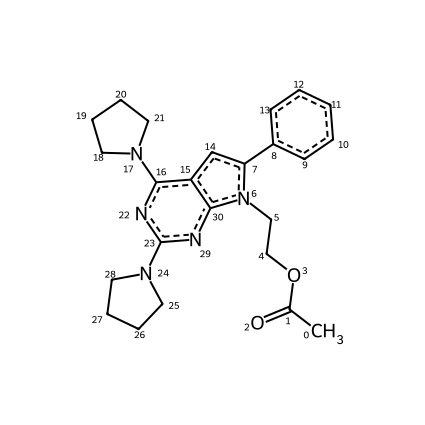 CC(=O)OCCn1c(-c2ccccc2)cc2c(N3CCCC3)nc(N3CCCC3)nc21